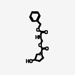 O=C(NCOC(=O)N1CCC(O)C1)OCc1ccccc1